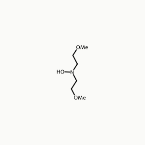 COCCN(O)CCOC